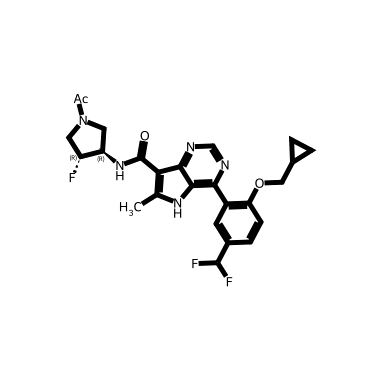 CC(=O)N1C[C@@H](F)[C@H](NC(=O)c2c(C)[nH]c3c(-c4cc(C(F)F)ccc4OCC4CC4)ncnc23)C1